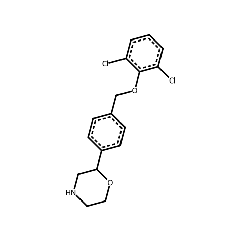 Clc1cccc(Cl)c1OCc1ccc(C2CNCCO2)cc1